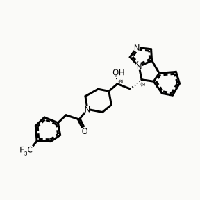 O=C(Cc1ccc(C(F)(F)F)cc1)N1CCC([C@H](O)C[C@H]2c3ccccc3-c3cncn32)CC1